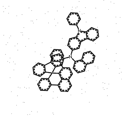 c1ccc(-c2ccc3cccc4c3c2C2(c3ccccc3-c3ccc(N(c5ccc6c(c5)c5ccccc5n6-c5ccccc5)c5cccc6ccccc56)cc32)c2ccccc2-4)cc1